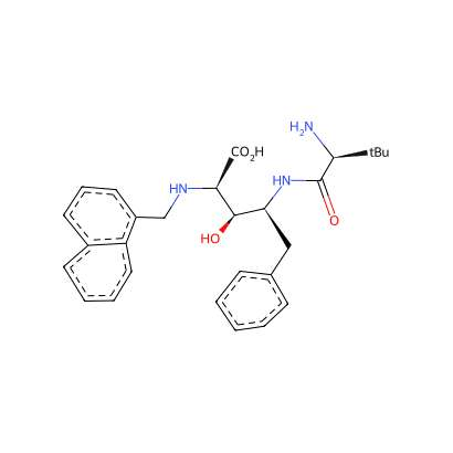 CC(C)(C)[C@H](N)C(=O)N[C@@H](Cc1ccccc1)[C@@H](O)[C@@H](NCc1cccc2ccccc12)C(=O)O